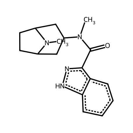 CN(C(=O)c1n[nH]c2ccccc12)C1CC2CCC(C1)N2C